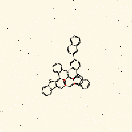 c1ccc(-c2ccc(-c3ccc4ccccc4c3)cc2N(c2ccccc2-c2cccc3c2sc2ccccc23)c2cccc3c2sc2ccccc23)cc1